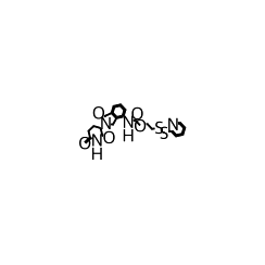 O=C1CCC(N2Cc3c(NC(=O)OCCSSc4ccccn4)cccc3C2=O)C(=O)N1